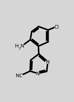 N#Cc1cc(-c2cc(Cl)ccc2N)ncn1